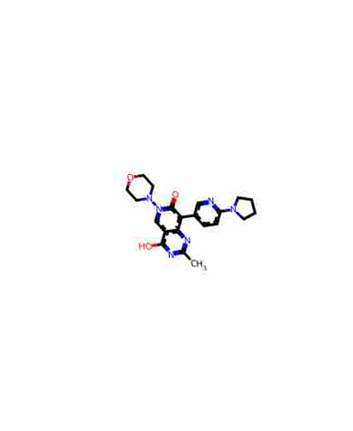 Cc1nc(O)c2cn(N3CCOCC3)c(=O)c(-c3ccc(N4CCCC4)nc3)c2n1